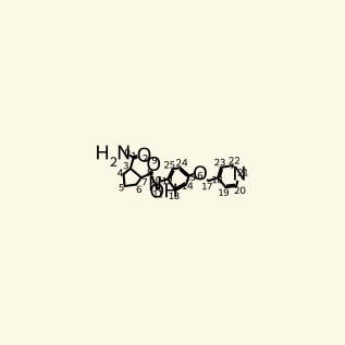 NC(=O)C1CCCC1C(=O)N(O)c1ccc(OCc2ccncc2)cc1